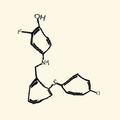 Oc1ccc(NCc2ccccc2Sc2ccc(Cl)cc2)cc1F